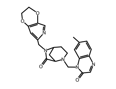 Cc1ccc2ncc(=O)n(CN3CCC4CC3C(=O)N4Cc3cc4c(cn3)OCCO4)c2c1